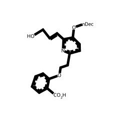 CCCCCCCCCCOc1ccc(CCOc2ccccc2C(=O)O)nc1C=CCO